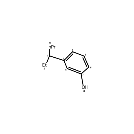 CCCC(CC)c1cccc(O)c1